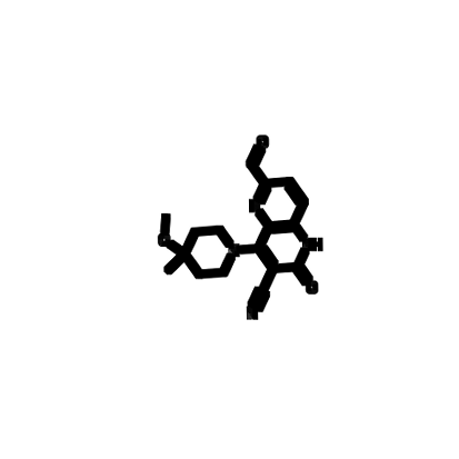 COC1(C)CCN(c2c(C#N)c(=O)[nH]c3ccc(C=O)nc23)CC1